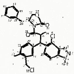 CCn1nnc2c(Cl)c(C(c3ccc(C)c(CCl)c3)C(C)C(=O)N3C(=O)OC[C@H]3Cc3ccccc3)ccc21